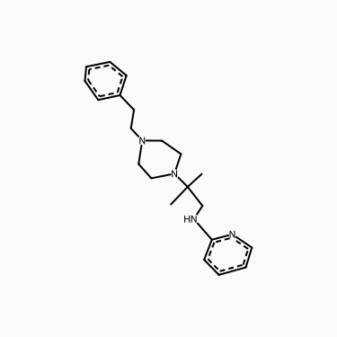 CC(C)(CNc1ccccn1)N1CCN(CCc2ccccc2)CC1